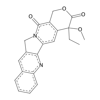 CCC1(OC)C(=O)OCc2c1cc1n(c2=O)Cc2cc3ccccc3nc2-1